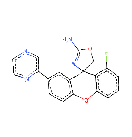 NC1=NC2(CO1)c1cc(-c3cnccn3)ccc1Oc1cccc(F)c12